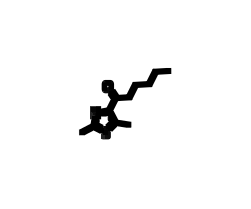 CCCCCC(=O)c1nc(C)sc1C